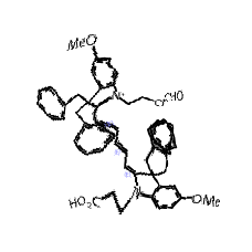 COc1ccc2c(c1)C(Cc1ccccc1)(Cc1ccccc1)C(/C=C/C=C/C=C1/N(CCC(=O)O)c3ccc(OC)cc3C1(Cc1ccccc1)Cc1ccccc1)=[N+]2CCOC=O